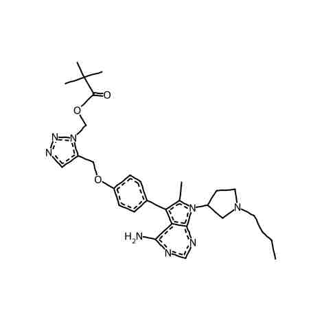 CCCCN1CCC(n2c(C)c(-c3ccc(OCc4cnnn4COC(=O)C(C)(C)C)cc3)c3c(N)ncnc32)C1